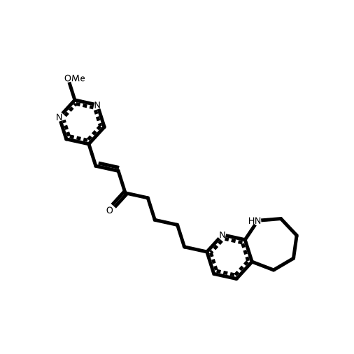 COc1ncc(/C=C/C(=O)CCCCc2ccc3c(n2)NCCCC3)cn1